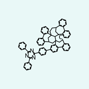 c1ccc(-c2nc(-c3ccccc3)nc(-c3ccc(-c4ccc5c(c4)C46CC7CC8(CCC9CC(CC(C4)c4ccccc4-5)(c4ccccc4-c4ccccc49)C86)c4ccccc4-c4ccccc47)cc3)n2)cc1